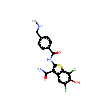 CCC(C)NCc1ccc(C(=O)Nc2sc3c(Cl)c(O)c(Cl)cc3c2C(N)=O)cc1